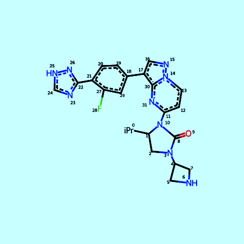 CC(C)C1CN(C2CNC2)C(=O)N1c1ccn2ncc(-c3ccc(-c4nc[nH]n4)c(F)c3)c2n1